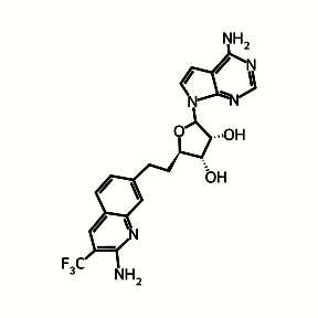 Nc1nc2cc(CC[C@H]3OC(n4ccc5c(N)ncnc54)[C@H](O)[C@@H]3O)ccc2cc1C(F)(F)F